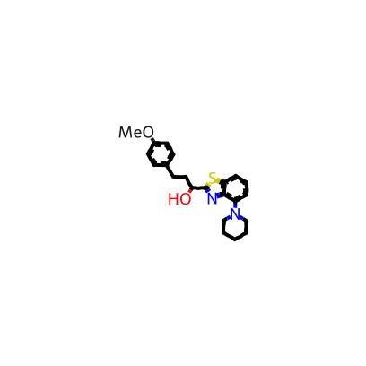 COc1ccc(CCC(O)c2nc3c(N4CCCCC4)cccc3s2)cc1